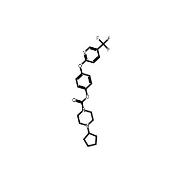 O=C(Oc1ccc(Oc2ccc(C(F)(F)F)cn2)cc1)N1CCN(C2CCCC2)CC1